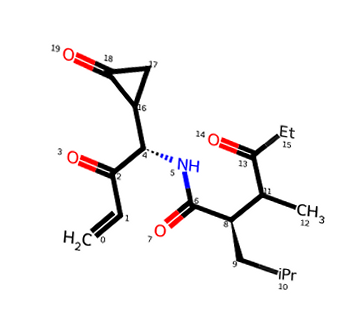 C=CC(=O)[C@@H](NC(=O)[C@H](CC(C)C)C(C)C(=O)CC)C1CC1=O